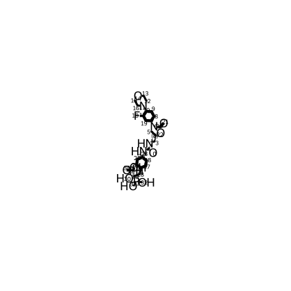 O=C(NC[C@H]1CN(c2ccc(N3CCOCC3)c(F)c2)C(=O)O1)Nc1ccc(CC(O)(P(O)O)[PH](=O)O)cc1